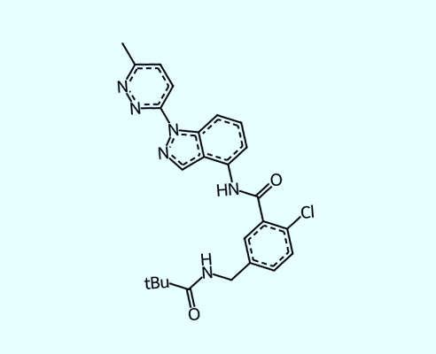 Cc1ccc(-n2ncc3c(NC(=O)c4cc(CNC(=O)C(C)(C)C)ccc4Cl)cccc32)nn1